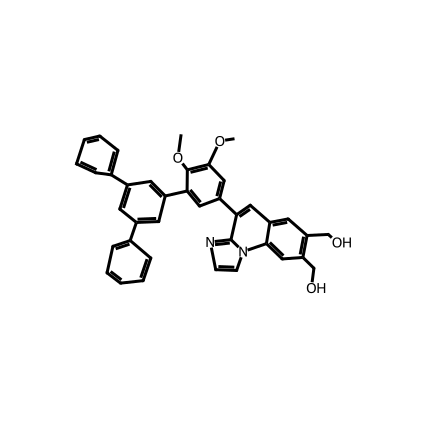 COc1cc(-c2cc3cc(CO)c(CO)cc3n3ccnc23)cc(-c2cc(-c3ccccc3)cc(-c3ccccc3)c2)c1OC